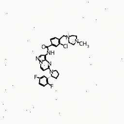 CN1CCN(Cc2ccc(C(=O)Nc3cnn4ccc(N5CCC[C@@H]5c5cc(F)ccc5F)nc34)cc2Cl)CC1